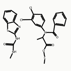 CCOC(=O)C(C)N(C(=O)c1ccccc1)c1ccc(Cl)c(Cl)c1.CNC(=O)Nc1nc2ccccc2s1